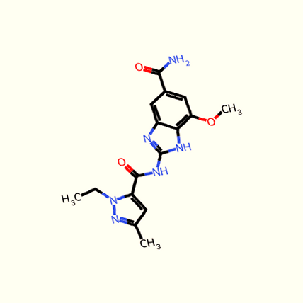 CCn1nc(C)cc1C(=O)Nc1nc2cc(C(N)=O)cc(OC)c2[nH]1